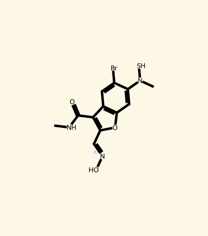 CNC(=O)c1c(/C=N/O)oc2cc(N(C)S)c(Br)cc12